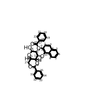 Cc1ccc2ccccc2c1O[C@@H]1[C@@H](OC(=O)c2ccccc2)[C@H](O)O[C@@H]2COC(c3ccccc3)O[C@@H]12